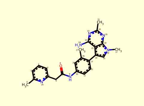 Cc1cccc(CC(=O)Nc2ccc(-c3cn(C)c4nc(C)nc(N)c34)c(C)c2)n1